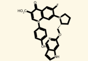 O=C(O)c1cn(-c2ccc(O)cc2)c2cc(N3CCC[C@@H]3COc3cc4[nH]ccc4cn3)c(F)cc2c1=O